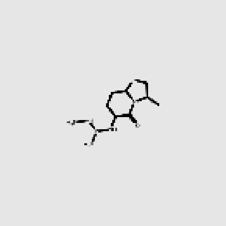 CC1CSC2CCC(NP(P)PP)C(=O)N12